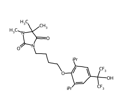 CC(C)c1cc(C(O)(C(F)(F)F)C(F)(F)F)cc(C(C)C)c1OCCCCN1C(=O)N(C)C(C)(C)C1=O